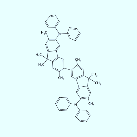 Cc1cc2c(cc1-c1cc3c(cc1C)C(C)(C)c1cc(C)c(N(c4ccccc4)c4ccccc4)cc1-3)-c1cc(N(c3ccccc3)c3ccccc3)c(C)cc1C2(C)C